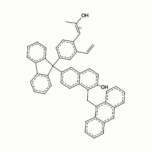 C=Cc1cc(C2(c3ccc4c(Cc5c6ccccc6cc6ccccc56)c(O)ccc4c3)c3ccccc3-c3ccccc32)ccc1/C=C(\C)O